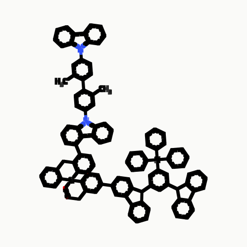 Cc1cc(-n2c3ccccc3c3ccccc32)ccc1-c1ccc(-n2c3ccccc3c3c(-c4cccc5c4Cc4ccccc4[Si]54c5ccccc5Cc5cc(-c6ccc7c(c6)-c6ccccc6C7c6cc(C7c8ccccc8-c8ccccc87)cc([Si](c7ccccc7)(c7ccccc7)c7ccccc7)c6)ccc54)cccc32)cc1C